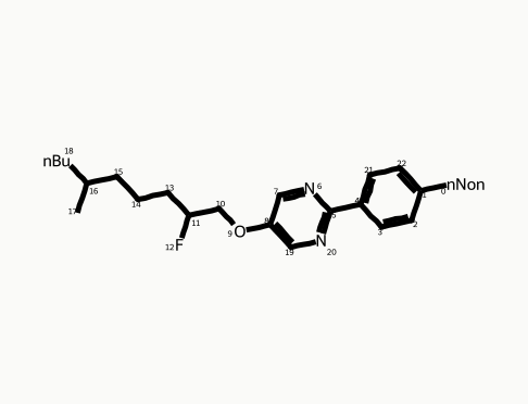 CCCCCCCCCc1ccc(-c2ncc(OCC(F)CCCC(C)CCCC)cn2)cc1